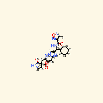 Cc1nonc1C(=O)NC(c1cn2nc(CC3(C(=O)O)CCNC3=O)ccc2n1)C1CCCCCC1